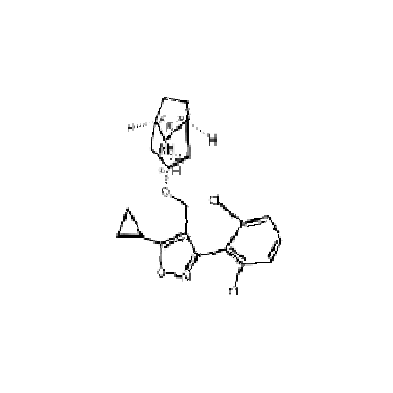 N[C@H]1[C@@H]2CC[C@H]1C[C@H](OCc1c(-c3c(Cl)cccc3Cl)noc1C1CC1)C2